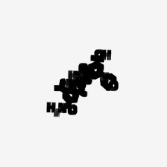 CC(C)c1cc(C(N)=O)cc(C(C)C)c1NC(=O)NS(=O)(=O)c1cc(N2CCOCC2)cc(C(C)(C)O)c1